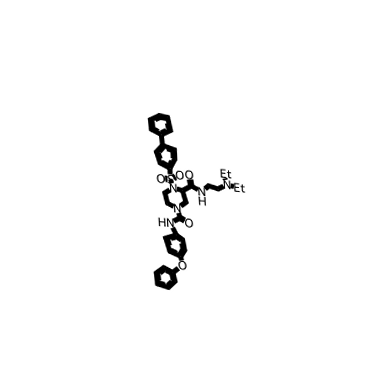 CCN(CC)CCNC(=O)C1CN(C(=O)Nc2ccc(Oc3ccccc3)cc2)CCN1S(=O)(=O)c1ccc(-c2ccccc2)cc1